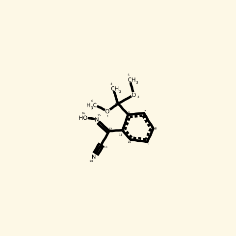 COC(C)(OC)c1ccccc1C(C#N)=NO